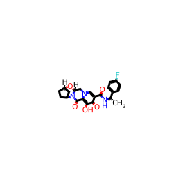 C[C@@H](NC(=O)c1cn2c(c(O)c1=O)C(=O)N1C3CC[C@@H](C3)O[C@H]1C2)c1ccc(F)cc1